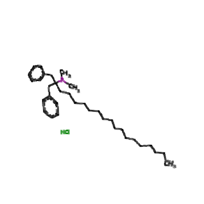 CCCCCCCCCCCCCCCCCC(Cc1ccccc1)(Cc1ccccc1)P(C)C.Cl